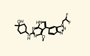 COc1nc(NC2CCC(C)(O)CC2)nc2[nH]cc(-c3ccc4nnn(CC(F)F)c4c3)c12